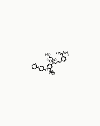 Cl.Cl.N=C(N)c1cccc(/C=C/CN(c2ccc(OC3CCN(C4=NCCCC4)CC3)c(Cl)c2)S(=O)(=O)CC(=O)O)c1